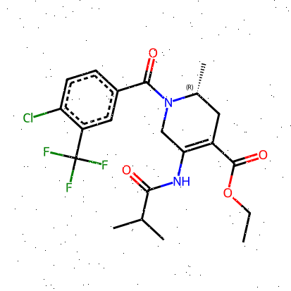 CCOC(=O)C1=C(NC(=O)C(C)C)CN(C(=O)c2ccc(Cl)c(C(F)(F)F)c2)[C@H](C)C1